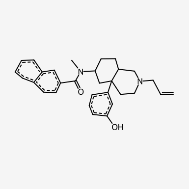 C=CCN1CCC2(c3cccc(O)c3)CC(N(C)C(=O)c3ccc4ccccc4c3)CCC2C1